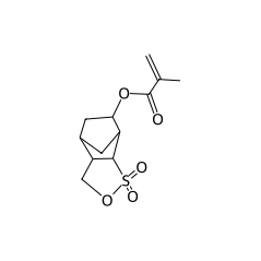 C=C(C)C(=O)OC1CC2CC1C1C2COS1(=O)=O